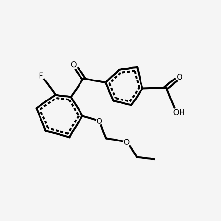 CCOCOc1cccc(F)c1C(=O)c1ccc(C(=O)O)cc1